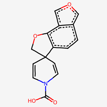 O=C(O)N1C=CC2(C=C1)COc1c2ccc2cocc12